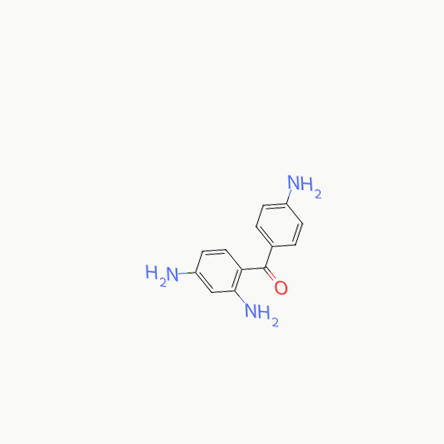 Nc1ccc(C(=O)c2ccc(N)cc2N)cc1